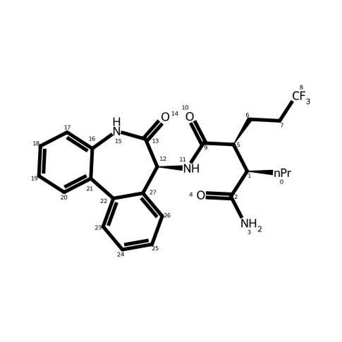 CCC[C@@H](C(N)=O)[C@H](CCC(F)(F)F)C(=O)N[C@@H]1C(=O)Nc2ccccc2-c2ccccc21